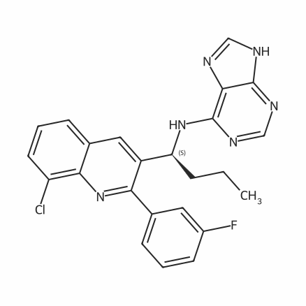 CCC[C@H](Nc1ncnc2[nH]cnc12)c1cc2cccc(Cl)c2nc1-c1cccc(F)c1